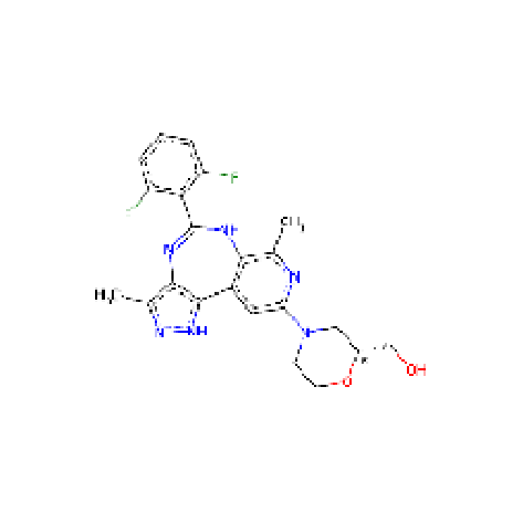 Cc1n[nH]c2c1N=C(c1c(F)cccc1F)Nc1c-2cc(N2CCO[C@@H](CO)C2)nc1C